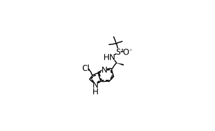 C[C@H](N[S+]([O-])C(C)(C)C)c1ccc2[nH]cc(Cl)c2n1